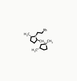 C[C@H]1CC[C@H](C)P1C[CH2][Rh].C[C@H]1CC[P@](C)C1